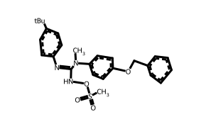 CN(C(=Nc1ccc(C(C)(C)C)cc1)NOS(C)(=O)=O)c1ccc(OCc2ccccc2)cc1